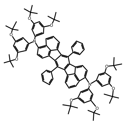 CC(C)(C)Oc1cc(OC(C)(C)C)cc(N(c2cc(OC(C)(C)C)cc(OC(C)(C)C)c2)c2ccc3c4c(-c5ccccc5)c5c6cccc7c(N(c8cc(OC(C)(C)C)cc(OC(C)(C)C)c8)c8cc(OC(C)(C)C)cc(OC(C)(C)C)c8)ccc(c5c(-c5ccccc5)c4c4cccc2c43)c76)c1